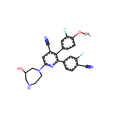 COc1ccc(-c2c(C#N)cc(N3CCNCC(O)C3)nc2-c2ccc(C#N)c(F)c2)cc1F